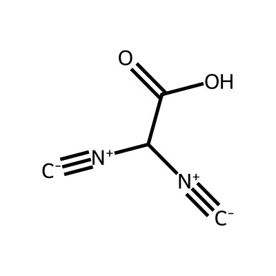 [C-]#[N+]C([N+]#[C-])C(=O)O